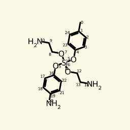 Cc1ccc(O[Si](OCCN)(OCCN)Oc2ccc(N)cc2)cc1